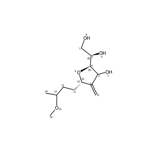 C=C1C(O)[C@H]([C@H](O)CO)O[C@H]1CCC(C)OC